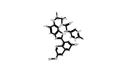 CCOc1cnc2c(-c3nc4cc(F)c(O[C@@H](C)[C@@H](C)OC(=O)Nc5cnc(C)nc5)cc4s3)cc(Cl)cc2c1